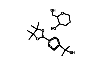 CC(C)(O)c1ccc(B2OC(C)(C)C(C)(C)O2)cc1.OCC1OCCCC1O